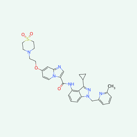 Cc1cccc(Cn2nc(C3CC3)c3c(NC(=O)c4cnc5cc(OCCN6CCS(=O)(=O)CC6)ccn45)cccc32)n1